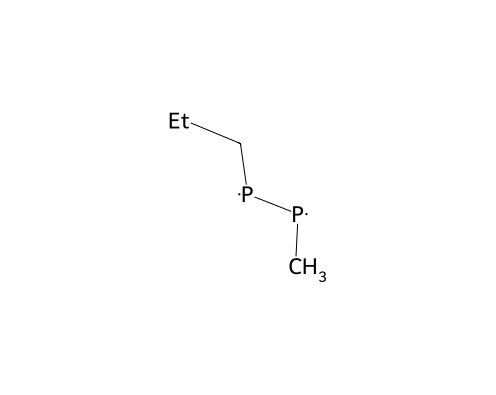 CCC[P][P]C